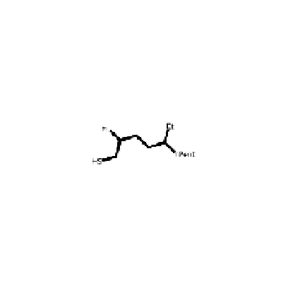 CCCCCC(CC)CCC(CC)CS